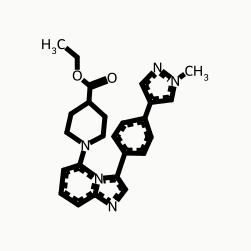 CCOC(=O)C1CCN(c2cccc3ncc(-c4ccc(-c5cnn(C)c5)cc4)n23)CC1